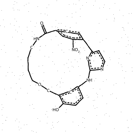 O=C1NCCCCOCc2cc(ccc2O)Nc2nccc(n2)-c2ccc1cc2[N+](=O)[O-]